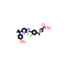 CC(c1ccc(-c2nc3ccc(C4(c5ccc(O)cc5)C=C4)nc3s2)c(F)c1)N1CC(C(=O)O)C1